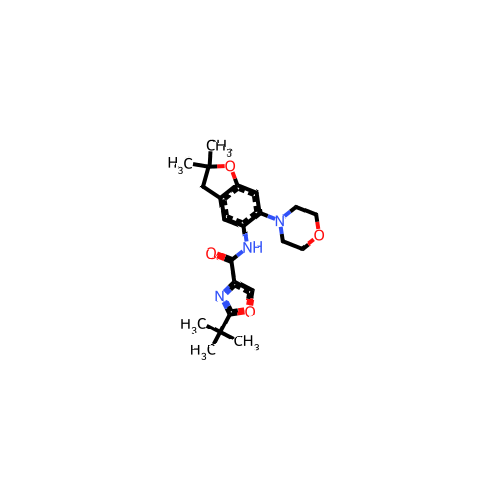 CC1(C)Cc2cc(NC(=O)c3coc(C(C)(C)C)n3)c(N3CCOCC3)cc2O1